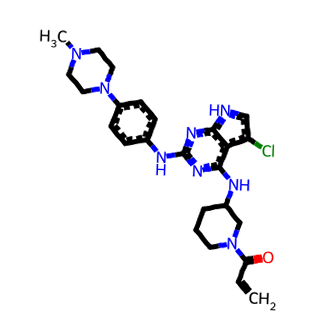 C=CC(=O)N1CCCC(Nc2nc(Nc3ccc(N4CCN(C)CC4)cc3)nc3[nH]cc(Cl)c23)C1